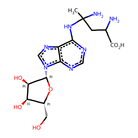 CC(N)(CC(N)C(=O)O)Nc1ncnc2c1ncn2[C@@H]1O[C@H](CO)[C@@H](O)[C@H]1O